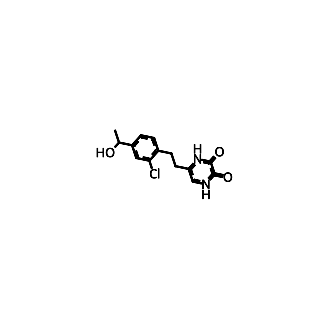 CC(O)c1ccc(CCc2c[nH]c(=O)c(=O)[nH]2)c(Cl)c1